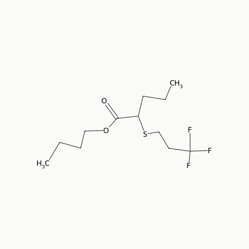 CCCCOC(=O)C(CCC)SCCC(F)(F)F